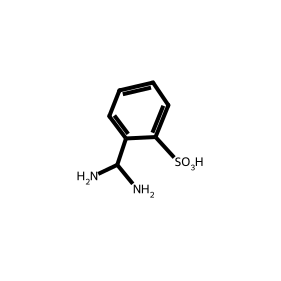 NC(N)c1ccccc1S(=O)(=O)O